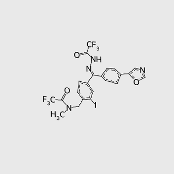 CN(Cc1ccc(C(=NNC(=O)C(F)(F)F)c2ccc(-c3cnco3)cc2)cc1I)C(=O)C(F)(F)F